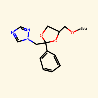 CC(C)(C)OCC1COC(Cn2cncn2)(c2ccccc2)O1